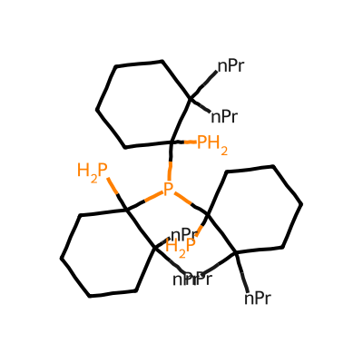 CCCC1(CCC)CCCCC1(P)P(C1(P)CCCCC1(CCC)CCC)C1(P)CCCCC1(CCC)CCC